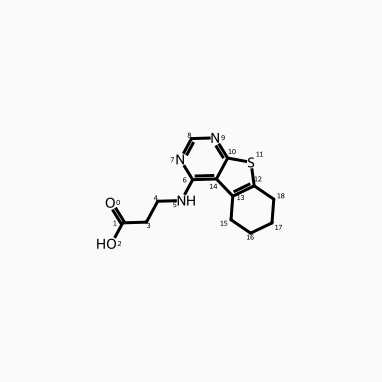 O=C(O)CCNc1ncnc2sc3c(c12)CCCC3